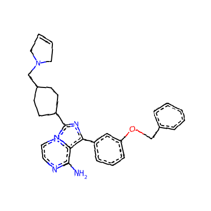 Nc1nccn2c(C3CCC(CN4CC=CC4)CC3)nc(-c3cccc(OCc4ccccc4)c3)c12